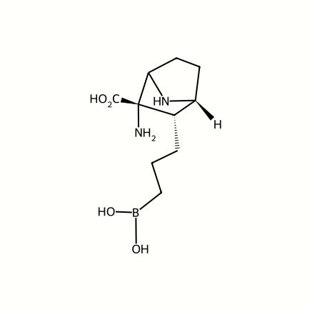 N[C@]1(C(=O)O)C2CC[C@@H](N2)[C@@H]1CCCB(O)O